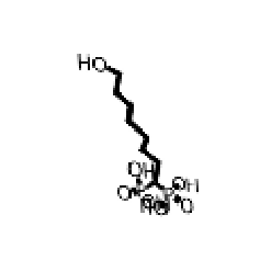 O=P(O)(O)C(CCCCCCCO)P(=O)(O)O